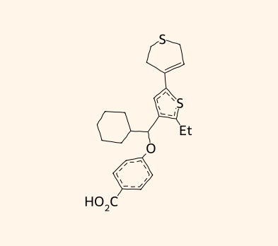 CCc1sc(C2=CCSCC2)cc1C(Oc1ccc(C(=O)O)cc1)C1CCCCC1